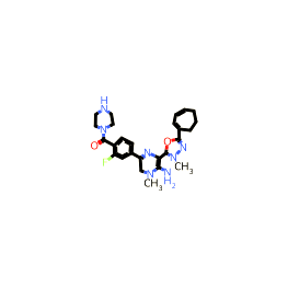 CN1CC(c2ccc(C(=O)N3CCNCC3)c(F)c2)=NC(C2OC(C3=CC=CCCC3)=NN2C)=C1N